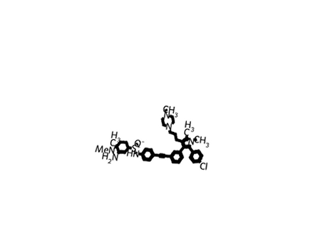 CN[C@@]1(C)CCC([S+]([O-])Nc2ccc(C#Cc3cccc(-c4c(CCCN5CCN(C)CC5)c(C)n(C)c4-c4ccc(Cl)cc4)c3)cc2)C=C1N